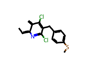 C=c1c(Cl)c(Cc2ccc(SC)cc2)c(Cl)n/c1=C/C